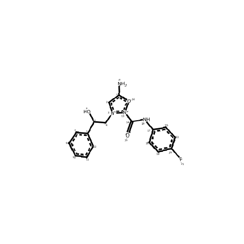 Nc1c[n+](CC(O)c2ccccc2)[n+](C(=O)Nc2ccc(F)cc2)o1